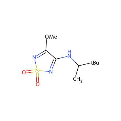 COC1=NS(=O)(=O)N=C1NC(C)C(C)(C)C